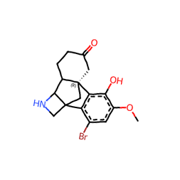 COc1cc(Br)c2c(c1O)[C@]13CC(=O)CCC1C1NCC21C3